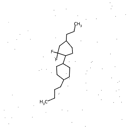 CCCCC1CCC(C2CCC(CCC)CC2(F)F)CC1